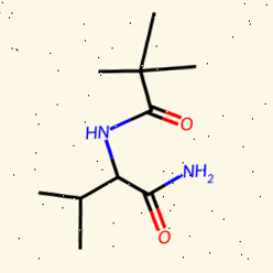 CC(C)C(NC(=O)C(C)(C)C)C(N)=O